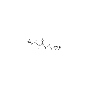 O=C(O)CCCC(=O)NCCO